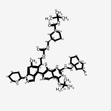 Cc1cc2c(cnn2C2CCCCO2)c(-c2ncc3c(OC(C)(C)C)nc(OC[C@@]45CCCN4C[C@@H](F)C5)nc3c2F)c1CCOC(=O)OC[C@@H]1CCCN(C(=O)OC(C)(C)C)C1